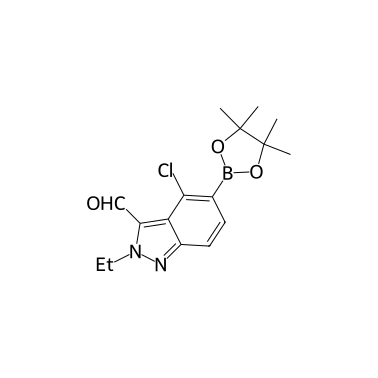 CCn1nc2ccc(B3OC(C)(C)C(C)(C)O3)c(Cl)c2c1C=O